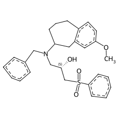 COc1ccc2c(c1)CC(N(Cc1ccccc1)C[C@H](O)CS(=O)(=O)c1ccccc1)CCC2